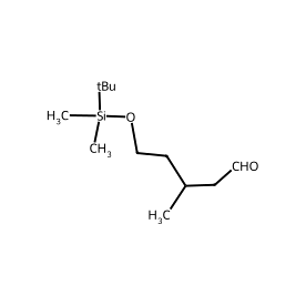 CC(CC=O)CCO[Si](C)(C)C(C)(C)C